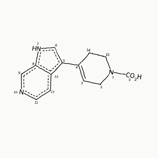 O=C(O)N1CC=C(c2c[nH]c3cnccc23)CC1